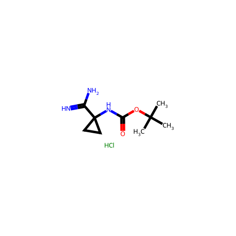 CC(C)(C)OC(=O)NC1(C(=N)N)CC1.Cl